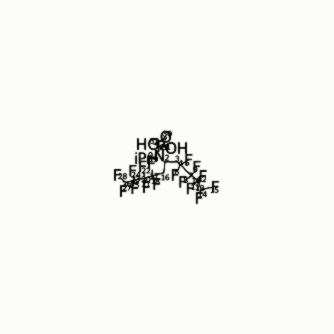 CC(C)N(C(CC(F)(F)C(F)(F)C(F)(F)C(F)F)CC(F)(F)C(F)(F)C(F)(F)C(F)F)P(=O)(O)O